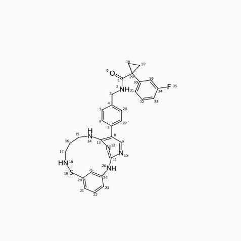 O=C(NCc1ccc(-c2cnc3nc2NCCCNSc2cccc(c2)N3)cc1)C1(c2cccc(F)c2)CC1